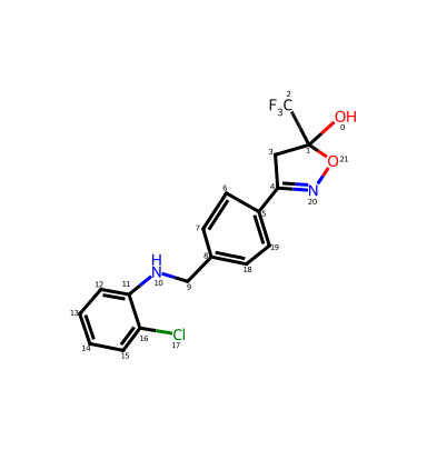 OC1(C(F)(F)F)CC(c2ccc(CNc3ccccc3Cl)cc2)=NO1